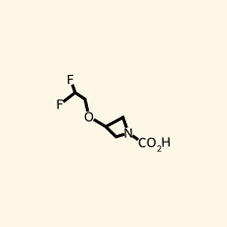 O=C(O)N1CC(OCC(F)F)C1